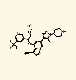 COCC(Oc1cc(-c2nnn(C3CCNCC3)c2C)cn2ncc(C#N)c12)c1cncc(C(F)(F)F)c1.Cl